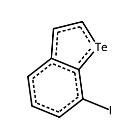 Ic1cccc2cc[te]c12